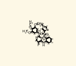 COc1cc(Nc2ncc(F)c(Nc3ccccc3NS(=O)(=O)c3cn(C)cn3)n2)cc(OC)c1OC